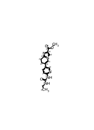 CCNC(=O)Nc1ccc(C2=Cn3cc(C(=O)OC)nc3CC2)cn1